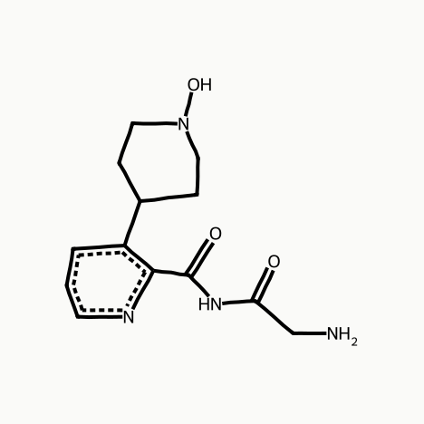 NCC(=O)NC(=O)c1ncccc1C1CCN(O)CC1